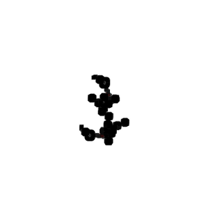 C=Cc1ccc(OCCCCCCC2(c3ccccc3)c3ccccc3-c3ccc(N(c4ccc(-c5ccccc5)cc4)c4cccc(-c5cccc(-c6cccc(N(c7ccc(-c8ccccc8)cc7)c7ccc8c(c7)C(CCCCCCOc7ccc(C=C)cc7)(c7ccccc7)c7ccccc7-8)c6)c5)c4)cc32)cc1